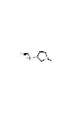 CN1CC[C@H](NC=O)C1